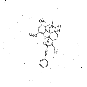 COc1cc(OC(C)=O)c2c3c1O[C@H]1[C@H](N(CC(C)C)C(=O)C#Cc4ccccc4)CC[C@H]4[C@@H](C2)N(C)CC[C@@]341